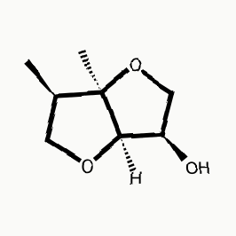 C[C@@H]1CO[C@@H]2[C@H](O)CO[C@]12C